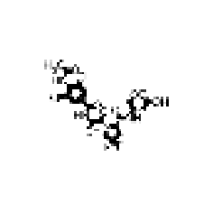 CC(=O)Nc1c(Cl)cc(C(=O)NC(C)C(=O)N2CC(F)(F)C[C@H]2C(=O)N[C@H](C=O)CC(=O)O)cc1Cl